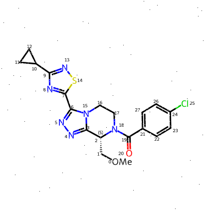 COC[C@@H]1c2nnc(-c3nc(C4CC4)ns3)n2CCN1C(=O)c1ccc(Cl)cc1